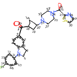 O=C(c1ccc2c(c1)CCN2c1ccc(F)cc1)C1CC(N2CCN(C(=O)c3nccs3)CC2)C1